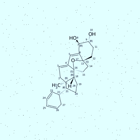 C[C@]12CC=C3C=C4[C@@H](O)[C@H](O)CC[C@]45CC[C@]3(O5)[C@@H]1CC[C@@H]2C1C=CC=CC1